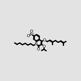 CCCCCCCCn1c(=O)c(OC(C)C)c(OC/C=C(\C)CCC=C(C)C)c2ccc([N+](=O)[O-])cc21